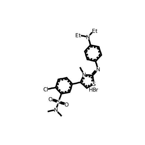 Br.CCN(CC)c1ccc(N=c2scc(-c3ccc(Cl)c(S(=O)(=O)N(C)C)c3)n2C)cc1